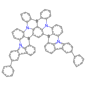 c1ccc(-c2ccc3c(c2)c2cccc4c2n3-c2cccc3c2B4c2cc4c5c6c2N3c2ccccc2B6c2ccccc2N5c2cccc3c2B4c2cccc4c5cc(-c6ccccc6)ccc5n-3c24)cc1